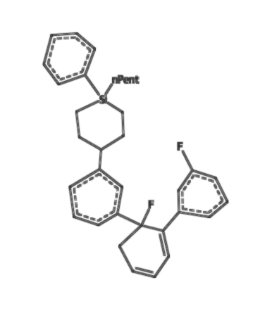 CCCCC[Si]1(c2ccccc2)CCC(c2cccc(C3(F)CC=CC=C3c3cccc(F)c3)c2)CC1